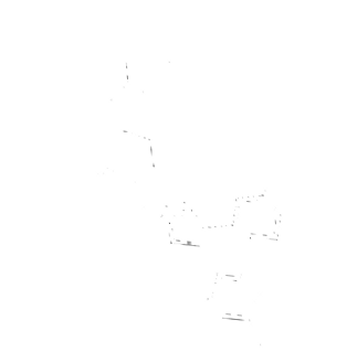 Cc1c(-c2ccc(Cl)cc2)c(-c2ccccc2)nn1C[C@H]1CC[C@@H](COCC(=O)O)CC1